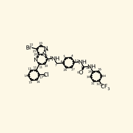 O=C(Nc1ccc(CNc2cc(-c3ccccc3Cl)nc3c(Br)cnn23)cc1)Nc1ccc(C(F)(F)F)cc1